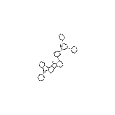 c1ccc(-c2cc(-c3ccccc3)nc(-c3cccc(-c4cccc5c4sc4c5ccc5c4c4ccccc4n5-c4ccccc4)c3)c2)cc1